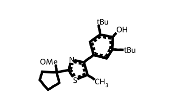 COC1(c2nc(-c3cc(C(C)(C)C)c(O)c(C(C)(C)C)c3)c(C)s2)CCCC1